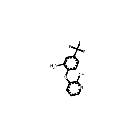 Nc1cc(C(F)(F)F)ccc1Oc1cccnc1O